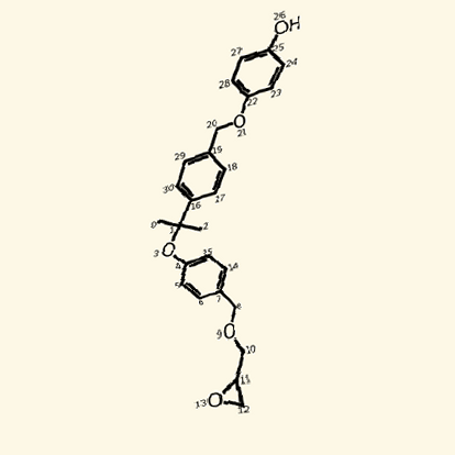 CC(C)(Oc1ccc(COCC2CO2)cc1)c1ccc(COc2ccc(O)cc2)cc1